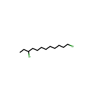 CCC(Br)CCCCCCCCCBr